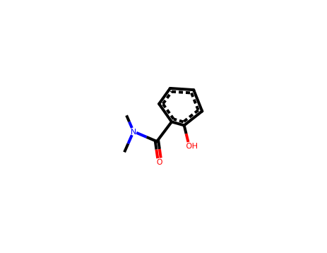 CN(C)C(=O)c1ccccc1O